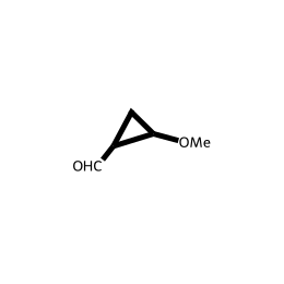 COC1CC1C=O